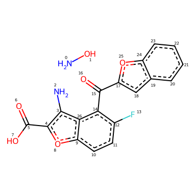 NO.Nc1c(C(=O)O)oc2ccc(F)c(C(=O)c3cc4ccccc4o3)c12